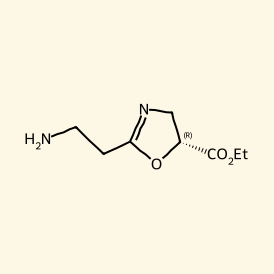 CCOC(=O)[C@H]1CN=C(CCN)O1